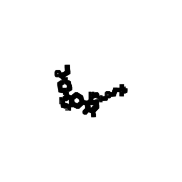 C=CC(=O)N1CCN(c2ncnc3c2CCC(c2c(C)c(C)cc4c2ncn4COCC[Si](C)(C)C)C3)CC1